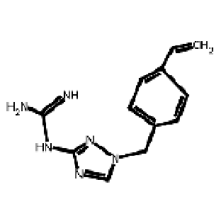 C=Cc1ccc(Cn2cnc(NC(=N)N)n2)cc1